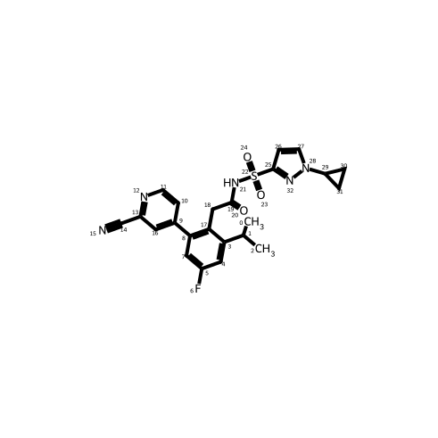 CC(C)c1cc(F)cc(-c2ccnc(C#N)c2)c1CC(=O)NS(=O)(=O)c1ccn(C2CC2)n1